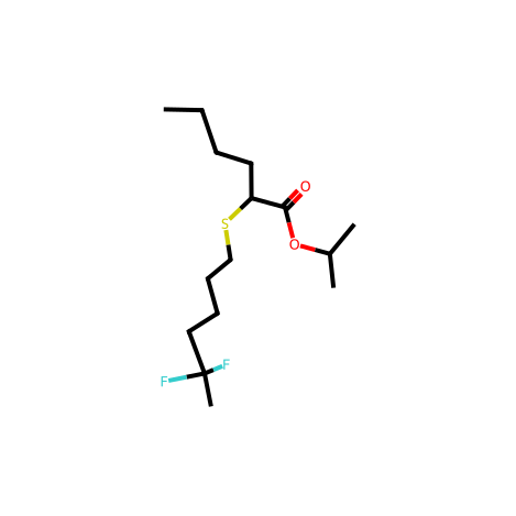 CCCCC(SCCCCC(C)(F)F)C(=O)OC(C)C